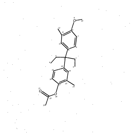 CCC(CC)(c1ccc(OC)c(C)c1)c1ccc(OC(C)=O)c(C)c1